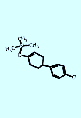 C[Si](C)(C)OC1=CCC(c2ccc(Cl)cc2)CC1